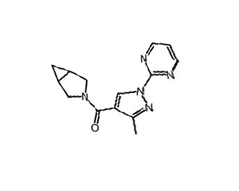 Cc1nn(-c2ncccn2)cc1C(=O)N1CC2CC2C1